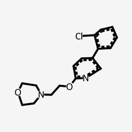 Clc1ccccc1-c1ccc(OCCN2CCOCC2)nc1